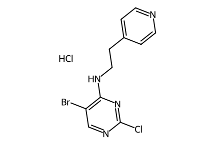 Cl.Clc1ncc(Br)c(NCCc2ccncc2)n1